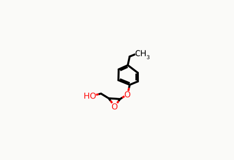 CCc1ccc(OC2OC2CO)cc1